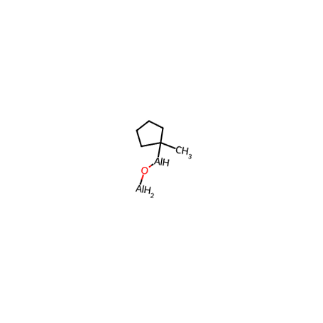 C[C]1([AlH][O][AlH2])CCCC1